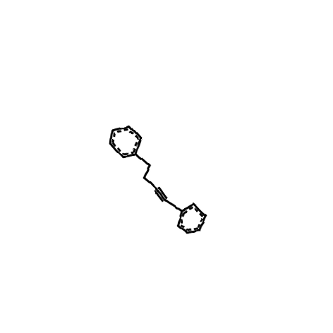 C(#Cc1ccccc1)CCc1ccccc1